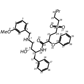 COc1cccc(CNC[C@@H](O)[C@H](Cc2ccccc2)NC(=O)C(CCS(=O)(=O)CCC(C)C)Oc2ccccc2)c1